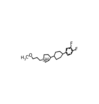 COCCC[SiH]1CCC(C2CCC(c3ccc(F)c(F)c3)CC2)CC1